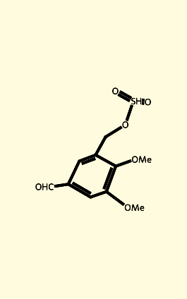 COc1cc(C=O)cc(CO[SH](=O)=O)c1OC